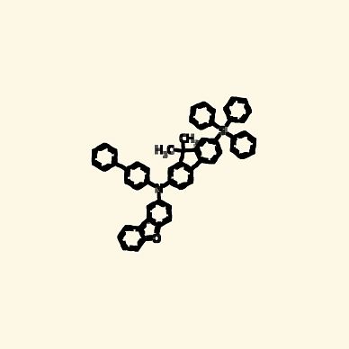 CC1(C)c2cc(N(c3ccc(-c4ccccc4)cc3)c3ccc4oc5ccccc5c4c3)ccc2-c2ccc([Si](c3ccccc3)(c3ccccc3)c3ccccc3)cc21